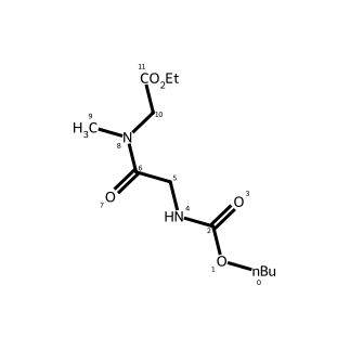 CCCCOC(=O)NCC(=O)N(C)CC(=O)OCC